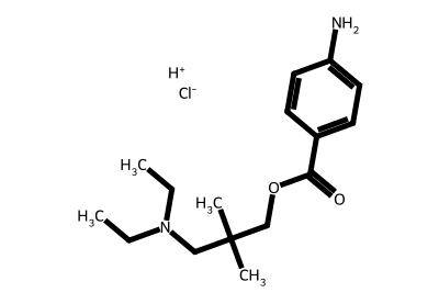 CCN(CC)CC(C)(C)COC(=O)c1ccc(N)cc1.[Cl-].[H+]